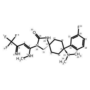 CN/C(=C\C(=N)C(F)(F)F)N1C[C@]2(CC[C@](c3cccc(F)c3)(N(C)C)CC2)NC1=O